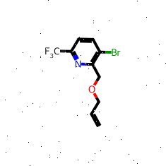 C=CCOCc1nc(C(F)(F)F)ccc1Br